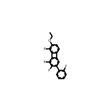 CCOc1ccc2c(c1F)-c1c-2cc(-c2ccccc2F)c(F)c1F